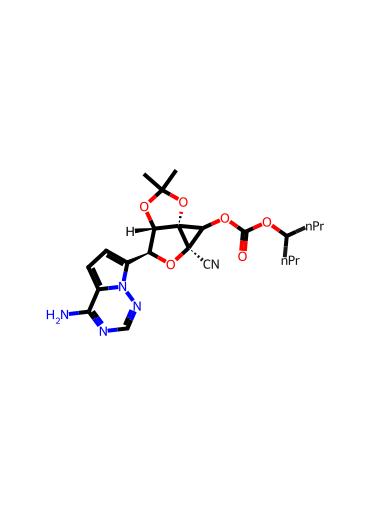 CCCC(CCC)OC(=O)OC1[C@@]2(C#N)O[C@@H](c3ccc4c(N)ncnn34)[C@@H]3OC(C)(C)O[C@@]132